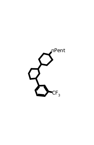 CCCCCC1CCC(C2CCCC(c3cccc(C(F)(F)F)c3)C2)CC1